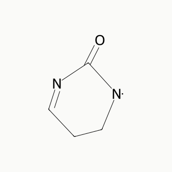 O=C1[N]CCC=N1